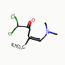 CCOC(=O)C(=CN(C)C)C(=O)C(Cl)Cl